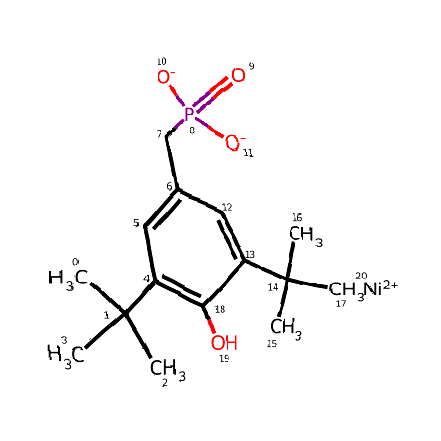 CC(C)(C)c1cc(CP(=O)([O-])[O-])cc(C(C)(C)C)c1O.[Ni+2]